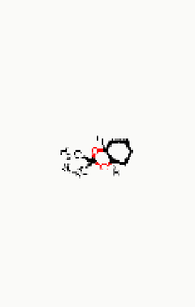 CC1(C)O[C@@H]2CCCC[C@H]2O1